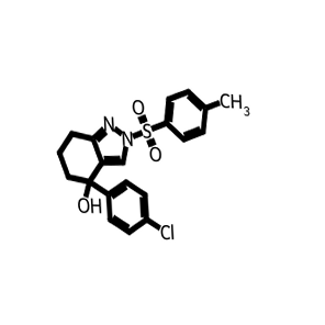 Cc1ccc(S(=O)(=O)n2cc3c(n2)CCCC3(O)c2ccc(Cl)cc2)cc1